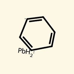 [PbH2].[c]1ccccc1